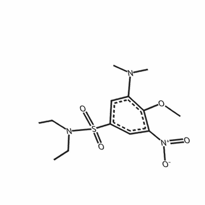 CCN(CC)S(=O)(=O)c1cc(N(C)C)c(OC)c([N+](=O)[O-])c1